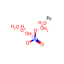 O.O.O.O.O.O=[N+]([O-])[O-].[Pu]